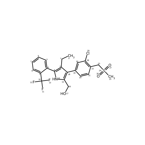 CCc1c(-c2ccccc2C(F)(F)F)[nH]c(CO)c1-c1ccc(CS(C)(=O)=O)c(Cl)c1